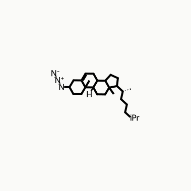 CC(C)CCC[C@@H](C)C1CCC2C3CC=C4CC(N=[N+]=[N-])CCC4(C)[C@H]3CCC21C